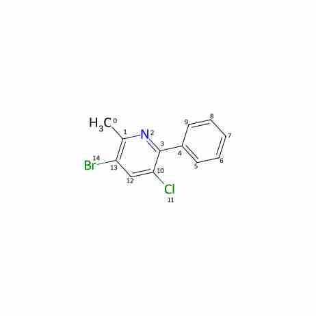 Cc1nc(-c2ccccc2)c(Cl)cc1Br